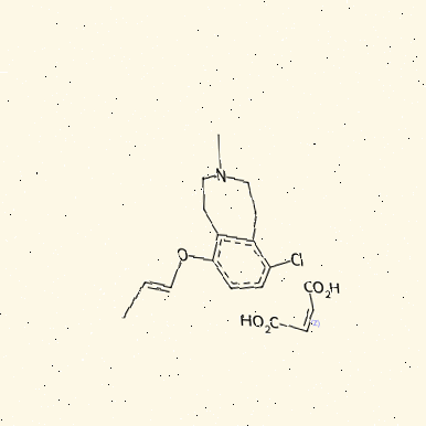 CC=COc1ccc(Cl)c2c1CCN(C)CC2.O=C(O)/C=C\C(=O)O